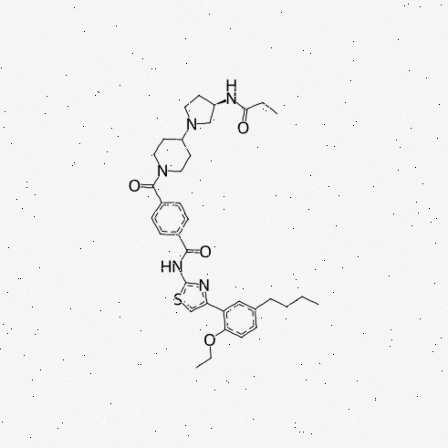 CCCCc1ccc(OCC)c(-c2csc(NC(=O)c3ccc(C(=O)N4CCC(N5CC[C@@H](NC(=O)CC)C5)CC4)cc3)n2)c1